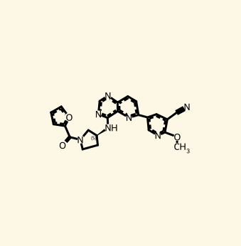 COc1ncc(-c2ccc3ncnc(N[C@H]4CCN(C(=O)c5ccco5)C4)c3n2)cc1C#N